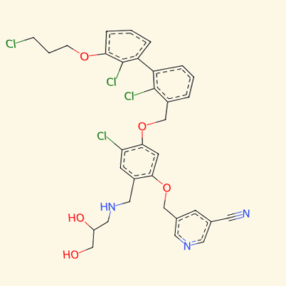 N#Cc1cncc(COc2cc(OCc3cccc(-c4cccc(OCCCCl)c4Cl)c3Cl)c(Cl)cc2CNCC(O)CO)c1